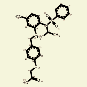 Cc1ccc(N(C(C)C)S(=O)(=O)c2ccccc2)c(OCc2ccc(OCC(=O)O)cc2)c1